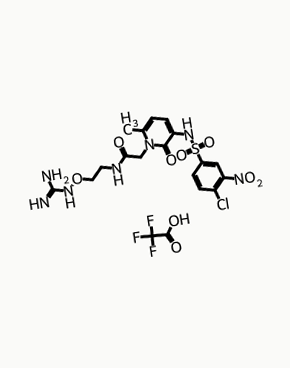 Cc1ccc(NS(=O)(=O)c2ccc(Cl)c([N+](=O)[O-])c2)c(=O)n1CC(=O)NCCONC(=N)N.O=C(O)C(F)(F)F